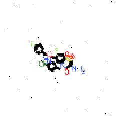 N[C@H]1CS(=O)(=O)c2cc(F)c(-c3nnc(-c4ccc(F)cc4)o3)cc2N(Cc2ccc(Cl)cc2)C1=O